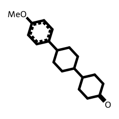 COc1ccc(C2CCC(C3CCC(=O)CC3)CC2)cc1